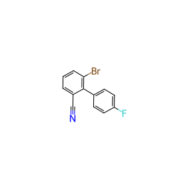 N#Cc1cccc(Br)c1-c1ccc(F)cc1